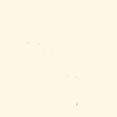 CC(C)c1cc(Oc2c(Cl)cc(N3CCC(C(=O)O)CC3)cc2Cl)n[nH]c1=O